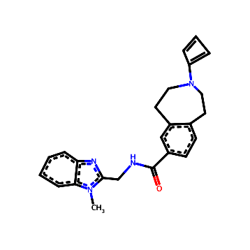 Cn1c(CNC(=O)c2ccc3c(c2)CCN(C2=CC=C2)CC3)nc2ccccc21